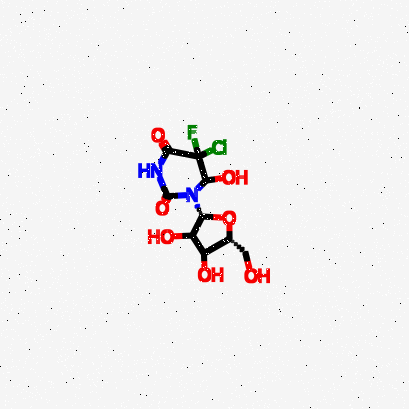 O=C1NC(=O)C(F)(Cl)C(O)N1[C@@H]1O[C@H](CO)C(O)C1O